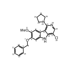 COc1cc2c(cc1OCc1ccccc1)[nH]c1c(Cl)cnc(N3CCCC3)c12